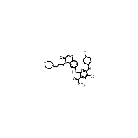 CCc1nc(C(N)=O)c(Nc2ccc3c(c2)N(CCCN2CCOCC2)C(=O)CO3)nc1NC1CCC(O)CC1